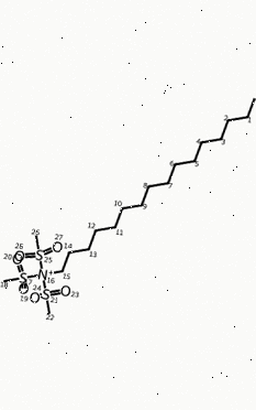 CCCCCCCCCCCCCCCC[N+](S(C)(=O)=O)(S(C)(=O)=O)S(C)(=O)=O